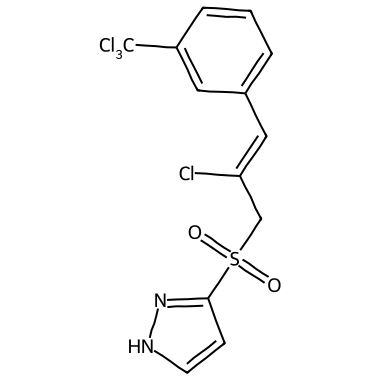 O=S(=O)(CC(Cl)=Cc1cccc(C(Cl)(Cl)Cl)c1)c1cc[nH]n1